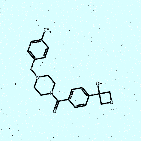 O=C(c1ccc(C2(O)COC2)cc1)N1CCN(Cc2ccc(C(F)(F)F)cc2)CC1